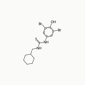 Oc1c(Br)cc(NC(=S)NCC2CCCCC2)cc1Br